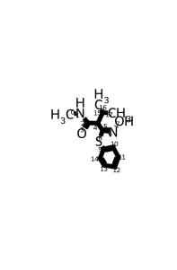 CNC(=O)C(C(=NO)Sc1ccccc1)C(C)C